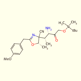 COc1ccc(CC2=NC(C#N)([C@@H](C)[C@H](N)C(=O)CO[Si](C)(C)C(C)(C)C)[C@H](C)O2)cc1